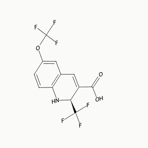 O=C(O)C1=Cc2cc(OC(F)(F)F)ccc2N[C@@H]1C(F)(F)F